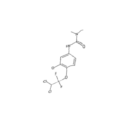 CN(C)C(=O)Nc1ccc(OC(F)(F)C(Cl)Cl)c(Cl)c1